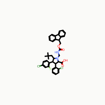 CC(C)(C)CC1C(c2ccc(Cl)cc2F)C(c2ccccc2Cl)C(C(=O)O)N1CNC(=O)OCC1c2ccccc2-c2ccccc21